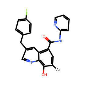 CC(=O)c1cc(C(=O)Nc2ccccn2)c2cc(Cc3ccc(F)cc3)cnc2c1O